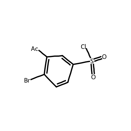 CC(=O)c1cc(S(=O)(=O)Cl)ccc1Br